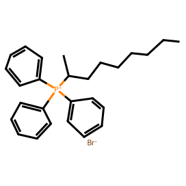 CCCCCCCC(C)[P+](c1ccccc1)(c1ccccc1)c1ccccc1.[Br-]